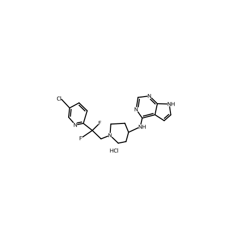 Cl.FC(F)(CN1CCC(Nc2ncnc3[nH]ccc23)CC1)c1ccc(Cl)cn1